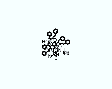 CC1(c2c(F)c(C(=Cc3ccccc3)C(=O)C=Cc3ccccc3)cc(N(C(=O)O)C(=Cc3ccccc3)C(=O)C=Cc3ccccc3)c2C(=Cc2ccccc2)C(=O)C=Cc2ccccc2)Cn2c(nc(Cl)c2C#N)C(N)=N1.[Pd].[Pd]